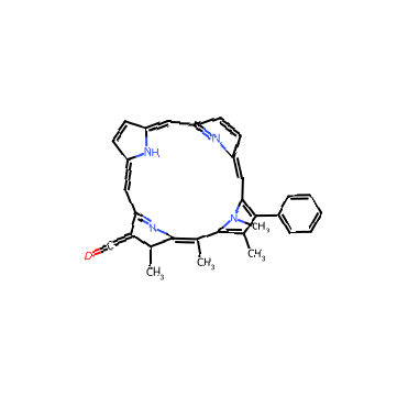 Cc1c2nc(cc3ccc(cc4nc(cc5c(-c6ccccc6)c(C)c1n5C)C=C4)[nH]3)C(=C=O)C2C